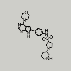 O=S(=O)(Nc1ccc(-c2cc3c(N4CCOCC4)ncnc3[nH]2)cc1)C1CCN(C2CCCNC2)C1